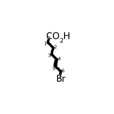 O=C(O)CCC/C=C/CBr